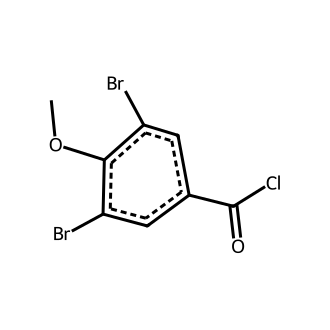 COc1c(Br)cc(C(=O)Cl)cc1Br